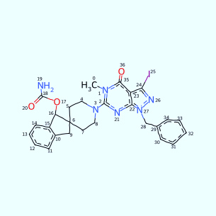 Cn1c(N2CCC3(CC2)Cc2ccccc2C3OC(N)=O)nc2c(c(I)nn2Cc2ccccc2)c1=O